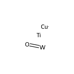 [Cu].[O]=[W].[Ti]